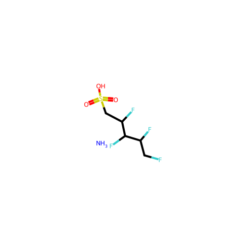 N.O=S(=O)(O)CC(F)C(F)C(F)CF